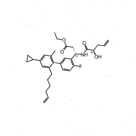 C=CCCCCc1cc(C2CC2)cc(C)c1-c1ccc(F)c([C@H](CC(=O)OCC)NC(=O)[C@H](O)CC=C)c1